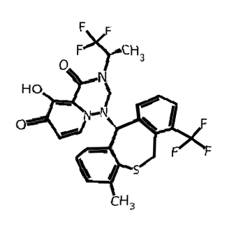 Cc1cccc2c1SCc1c(cccc1C(F)(F)F)[C@@H]2N1CN([C@H](C)C(F)(F)F)C(=O)c2c(O)c(=O)ccn21